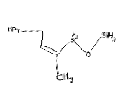 CCCCC=C(C)[SiH2]O[SiH3]